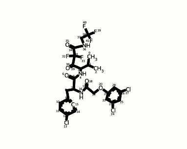 CC(C)C(NC(=O)C(Cc1ccc(Cl)cc1)NC(=O)COc1cc(Cl)cc(Cl)c1)C(=O)C(F)(F)C(=O)NCC(F)(F)F